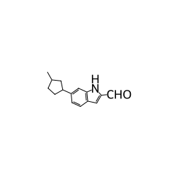 CC1CCC(c2ccc3cc(C=O)[nH]c3c2)C1